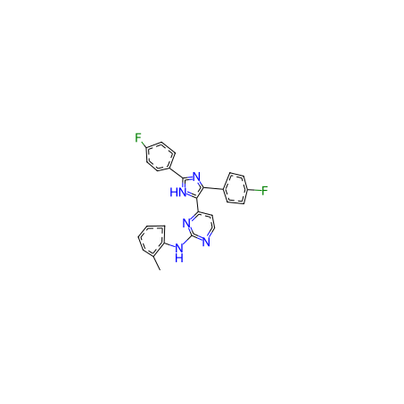 Cc1ccccc1Nc1nccc(-c2[nH]c(-c3ccc(F)cc3)nc2-c2ccc(F)cc2)n1